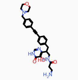 NCCC(=O)NCC(Cc1ccc(C#Cc2ccc(CN3CCOCC3)cc2)cc1)c1nc[nH]c(=O)c1O